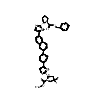 CC(C)(C)OC(=O)N1CC(F)(F)C[C@H]1c1ncc(-c2ccc(-c3ccc4cc(-c5cnc([C@@H]6CCCN6C(=O)OCc6ccccc6)[nH]5)ccc4c3)cc2)[nH]1